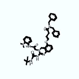 CN(C)c1ccccc1NC(=O)CN1Cc2c(cccc2OCCCC(=O)N(Cc2ccccc2)Cc2ccccc2)N=C1NC(=O)NC(C)(C)C